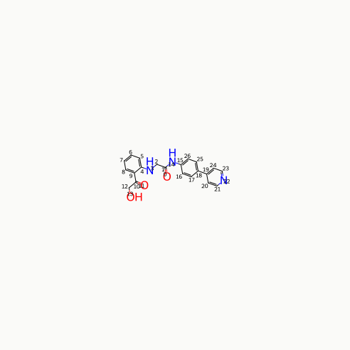 O=C(CNc1ccccc1C(=O)CO)Nc1ccc(-c2ccncc2)cc1